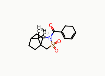 CC1(C)C2CCC13CS(=O)(=O)N(C(=O)C1=CC=CCC1)C3C2